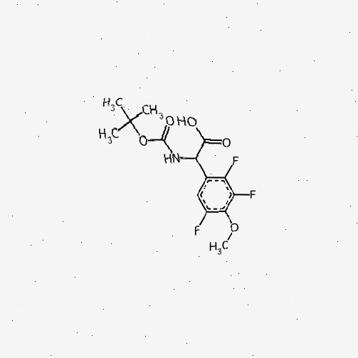 COc1c(F)cc(C(NC(=O)OC(C)(C)C)C(=O)O)c(F)c1F